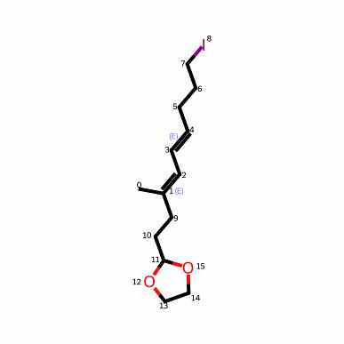 C/C(=C\C=C\CCCI)CCC1OCCO1